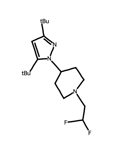 CC(C)(C)c1cc(C(C)(C)C)n(C2CCN(CC(F)F)CC2)n1